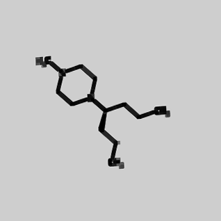 C[CH]C[C@H](CCC)N1CCN(C)CC1